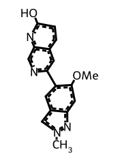 COc1cc2nn(C)cc2cc1-c1cc2ccc(O)nc2cn1